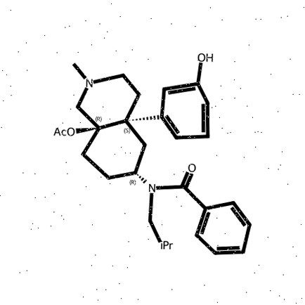 CC(=O)O[C@]12CC[C@@H](N(CC(C)C)C(=O)c3ccccc3)C[C@]1(c1cccc(O)c1)CCN(C)C2